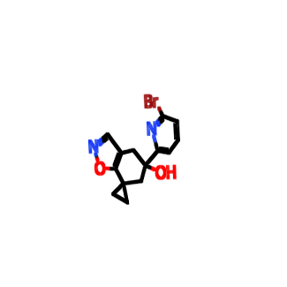 OC1(c2cccc(Br)n2)Cc2cnoc2C2(CC2)C1